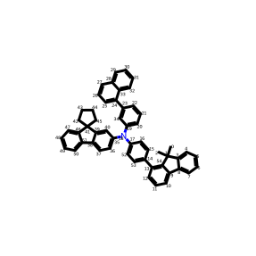 CC1(C)c2ccccc2-c2cccc(-c3ccc(N(c4cccc(-c5cccc6ccccc56)c4)c4ccc5c(c4)C4(CCCC4)c4ccccc4-5)cc3)c21